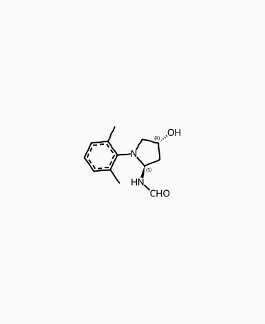 Cc1cccc(C)c1N1C[C@H](O)C[C@H]1NC=O